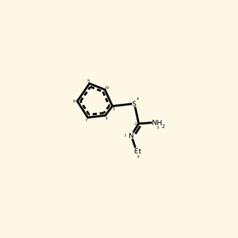 CCN=C(N)Sc1ccccc1